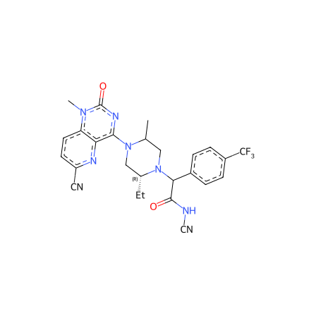 CC[C@@H]1CN(c2nc(=O)n(C)c3ccc(C#N)nc23)C(C)CN1C(C(=O)NC#N)c1ccc(C(F)(F)F)cc1